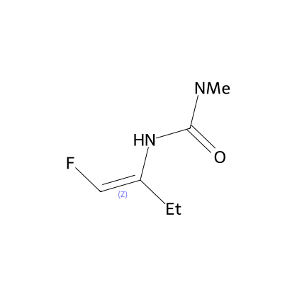 CC/C(=C/F)NC(=O)NC